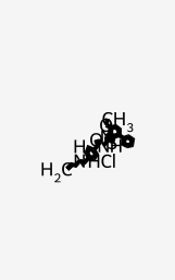 C=CCNCc1ccc(C(=O)Nc2nc3c(OC)ccc(-c4ccccc4)c3s2)cc1.Cl